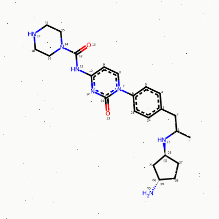 CC(Cc1ccc(-n2ccc(NC(=O)N3CCNCC3)nc2=O)cc1)N[C@H]1CC[C@H](N)C1